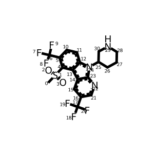 CS(=O)(=O)c1c(C(F)(F)F)ccc2c1c1cc(C(F)(F)F)cnc1n2C1CCCNC1